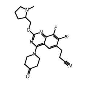 CN1CCCC1COc1nc(N2CCC(=O)CC2)c2cc(CCC#N)c(Br)c(F)c2n1